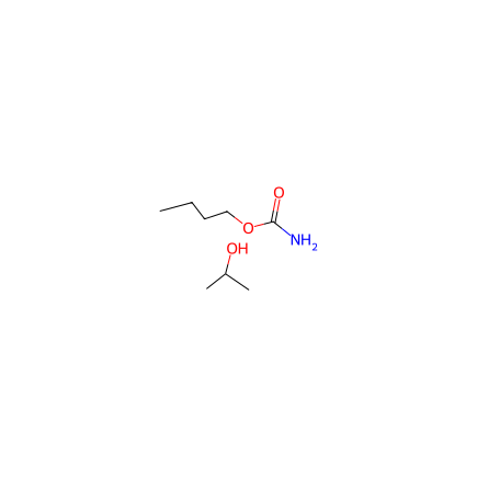 CC(C)O.CCCCOC(N)=O